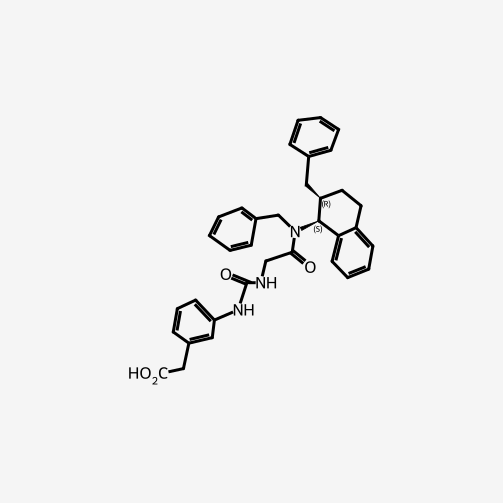 O=C(O)Cc1cccc(NC(=O)NCC(=O)N(Cc2ccccc2)[C@@H]2c3ccccc3CC[C@@H]2Cc2ccccc2)c1